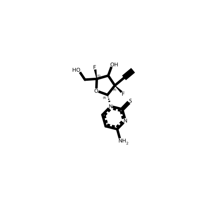 C#C[C@@]1(F)C(O)[C@@](F)(CO)O[C@H]1n1ccc(N)nc1=S